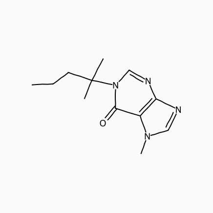 CCCC(C)(C)n1cnc2ncn(C)c2c1=O